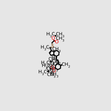 C=C1CCC(O[Si](C)(C)C(C)(C)C)(O[Si](C)(C)C(C)(C)C)CC1=CC=C1CCC[C@]2(C)C([C@H](C)SCC(=O)OC(C)(C)C)=CC[C@@H]12